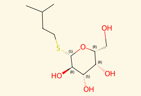 CC(C)CCS[C@@H]1O[C@H](CO)[C@H](O)[C@H](O)[C@H]1O